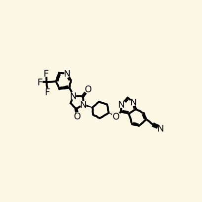 N#Cc1ccc2c(O[C@H]3CC[C@H](N4C(=O)CN(c5cncc(C(F)(F)F)c5)C4=O)CC3)ncnc2c1